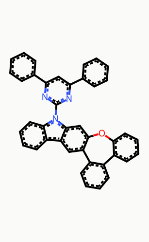 c1ccc(-c2cc(-c3ccccc3)nc(-n3c4ccccc4c4cc5c(cc43)Oc3ccccc3-c3ccccc3-5)n2)cc1